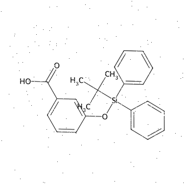 CC(C)(C)[Si](Oc1cccc(C(=O)O)c1)(c1ccccc1)c1ccccc1